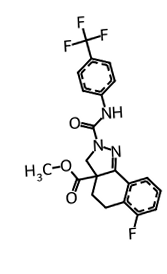 COC(=O)C12CCc3c(F)cccc3C1=NN(C(=O)Nc1ccc(C(F)(F)F)cc1)C2